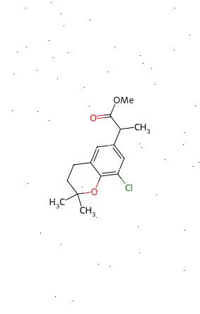 COC(=O)C(C)c1cc(Cl)c2c(c1)CCC(C)(C)O2